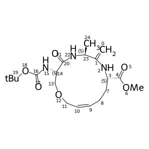 C=C1N[C@H](C(=O)OC)CCC=CCOC[C@H](NC(=O)OC(C)(C)C)C(=O)N[C@H]1C